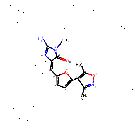 Cc1noc(C)c1-c1ccc(C=C2N=C(N)N(C)C2=O)o1